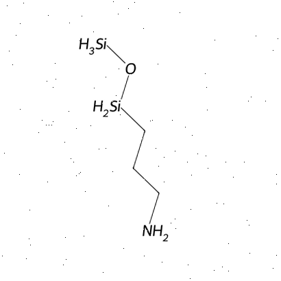 NCCC[SiH2]O[SiH3]